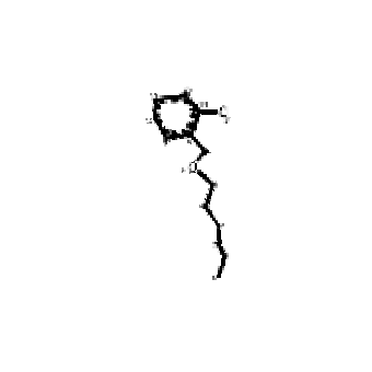 CCCCCCOCc1ccccc1Cl